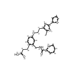 Cc1oc(-c2cccs2)nc1CCOc1ccc(CCC(=O)O)c(CNC(=O)c2ccccn2)c1